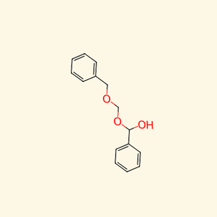 OC(OCOCc1ccccc1)c1ccccc1